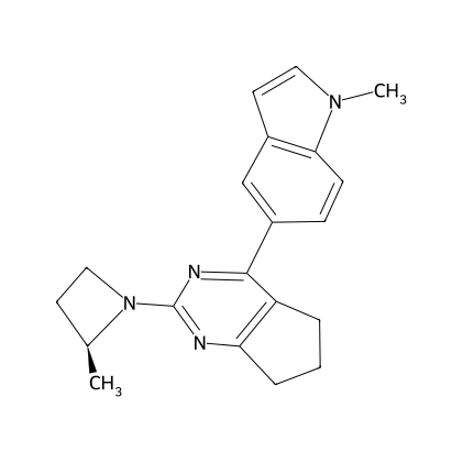 C[C@H]1CCN1c1nc2c(c(-c3ccc4c(ccn4C)c3)n1)CCC2